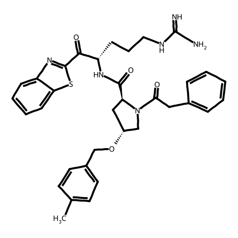 Cc1ccc(CO[C@@H]2C[C@@H](C(=O)N[C@@H](CCCNC(=N)N)C(=O)c3nc4ccccc4s3)N(C(=O)Cc3ccccc3)C2)cc1